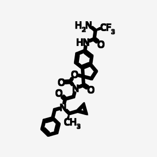 C[C@@H](C1CC1)N(Cc1ccccc1)C(=O)CN1C(=O)OC2(CCc3cc(NC(=O)[C@@H](N)C(F)(F)F)ccc32)C1=O